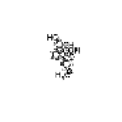 CCC1(c2ccc(O)cc2)c2ccccc2C(c2ccc(OC)cc2)C1C(=O)O